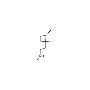 CNCCC1(C)CC[C@H]1C